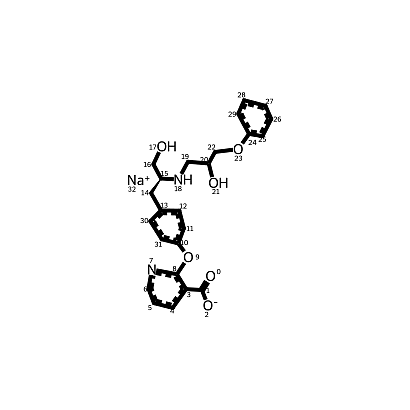 O=C([O-])c1cccnc1Oc1ccc(C[C@@H](CO)NCC(O)COc2ccccc2)cc1.[Na+]